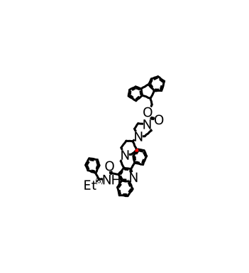 CC[C@H](NC(=O)c1c(CN2CCC(N3CCN(C(=O)OCC4c5ccccc5-c5ccccc54)CC3)CC2)c(-c2ccccc2)nc2ccccc12)c1ccccc1